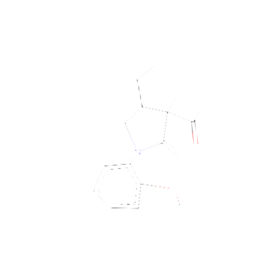 CCC1CN(c2ccccc2OC)C(=O)C1(C)C(=O)O